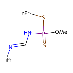 CCCSP(=S)(NC=NC(C)C)OC